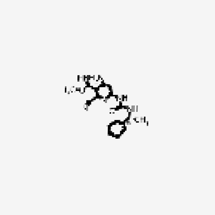 COC(=N)c1c(N)cc(NC(=O)N[C@H](C)c2ccccc2)nc1C#N